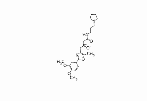 COC1=C(OC)CC(c2nc(C[S+]([O-])CC(=O)NCCCN3CCCC3)c(C)o2)C=C1